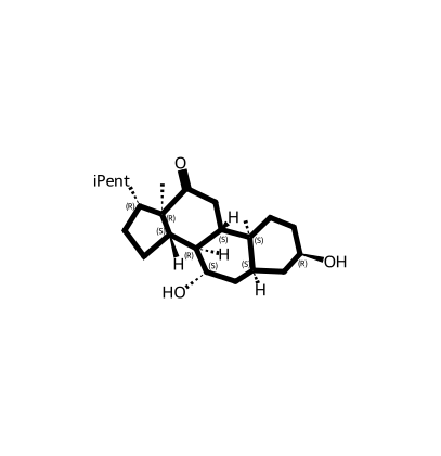 CCCC(C)[C@H]1CC[C@H]2[C@@H]3[C@@H](O)C[C@@H]4C[C@H](O)CC[C@]4(C)[C@H]3CC(=O)[C@]12C